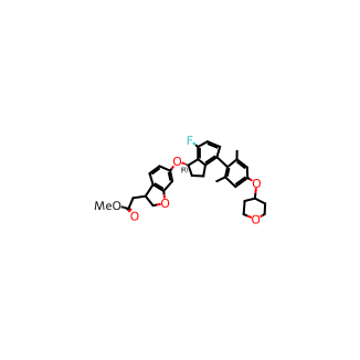 COC(=O)CC1COc2cc(O[C@@H]3CCc4c(-c5c(C)cc(OC6CCOCC6)cc5C)ccc(F)c43)ccc21